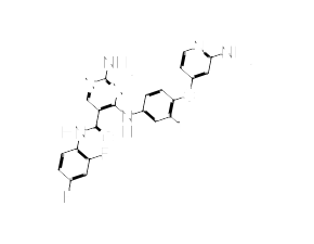 Nc1cc(Oc2ccc(Nc3nc(N)ncc3C(=O)Nc3ccc(F)cc3F)cc2F)ccn1